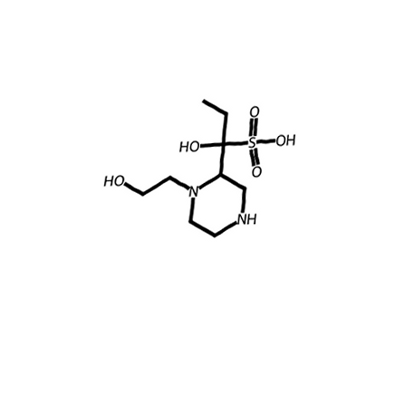 CCC(O)(C1CNCCN1CCO)S(=O)(=O)O